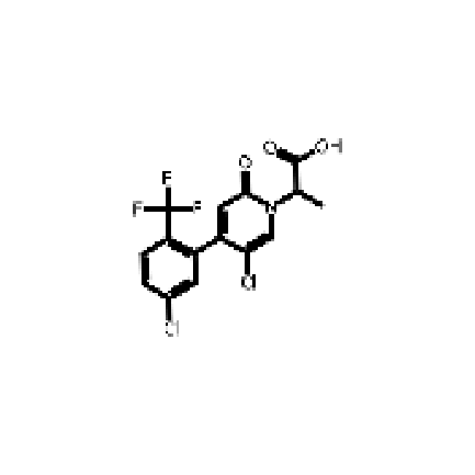 CC(C(=O)O)n1cc(Cl)c(-c2cc(Cl)ccc2C(F)(F)F)cc1=O